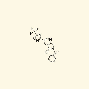 C[C@H](c1ccccc1)N1Cc2ncc(-c3noc(C(F)(F)F)n3)cc2C1=O